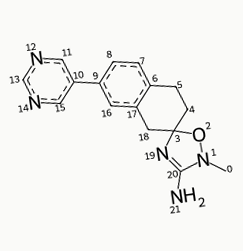 CN1OC2(CCc3ccc(-c4cncnc4)cc3C2)N=C1N